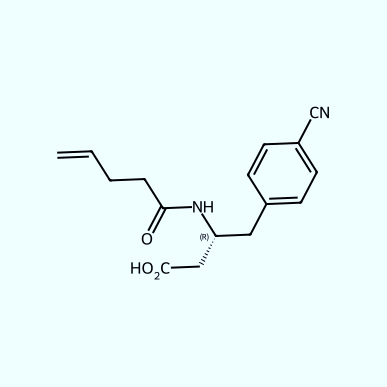 C=CCCC(=O)N[C@@H](CC(=O)O)Cc1ccc(C#N)cc1